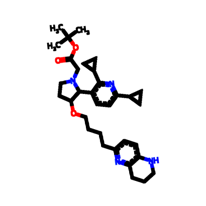 CC(C)(C)OC(=O)CN1CCC(OCCCCc2ccc3c(n2)CCCN3)C1c1ccc(C2CC2)nc1C1CC1